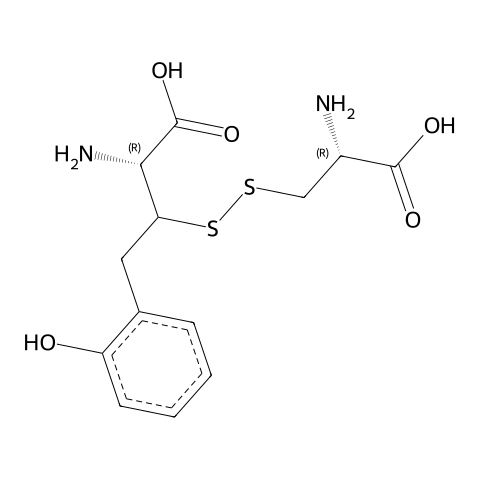 N[C@H](C(=O)O)C(Cc1ccccc1O)SSC[C@H](N)C(=O)O